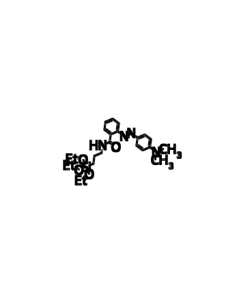 CCO[Si](CCCNC(=O)c1ccccc1N=Nc1ccc(N(C)C)cc1)(OCC)OCC